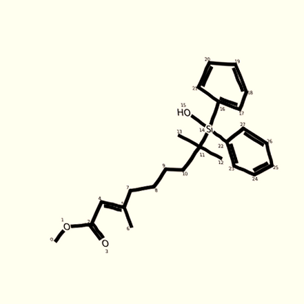 COC(=O)/C=C(\C)CCCCC(C)(C)[Si](O)(c1ccccc1)c1ccccc1